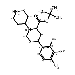 CC(C)(C)OC(=O)C1CC(c2ccc(Cl)c(F)c2F)CCN1C1CCNCC1